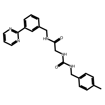 Cc1ccc(CNC(=O)NCC(=O)NCc2cccc(-c3ncccn3)c2)cc1